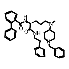 CN(CCC[C@H](NC(=O)c1ccccc1-c1ccccc1)C(=O)NCCc1ccccc1)C1CCN(Cc2ccccc2)CC1